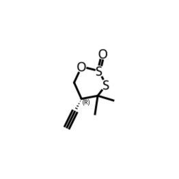 C#C[C@@H]1COS(=O)SC1(C)C